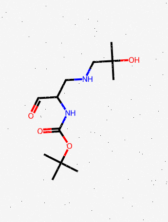 CC(C)(O)CNCC(C=O)NC(=O)OC(C)(C)C